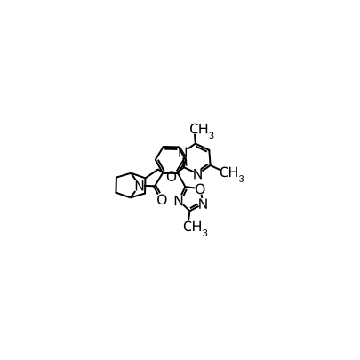 Cc1cc(C)nc(OCC2CC3CCC2N3C(=O)c2ccccc2-c2nc(C)no2)n1